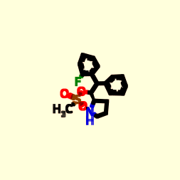 CS(=O)(=O)OC(C(c1ccccc1)c1ccccc1F)[C@H]1CCCN1